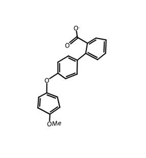 COc1ccc(Oc2ccc(-c3ccccc3C([O])=O)cc2)cc1